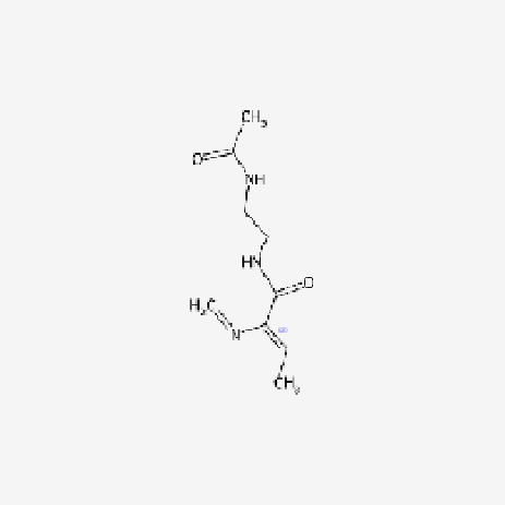 C=N/C(=C\C)C(=O)NCCNC(C)=O